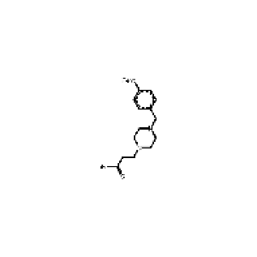 CCCC(C)c1ccc(CN2CCN(CCC(=O)C(C)C)CC2)cc1